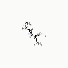 PP/N=P/P(P)P